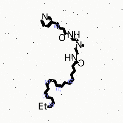 CC/C=C\C/C=C\C/C=C\C/C=C\C/C=C\CCCC(=O)NCCN(C)CCNC(=O)C/C=C/c1cccnc1